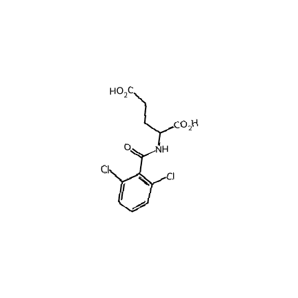 O=C(O)CCC(NC(=O)c1c(Cl)cccc1Cl)C(=O)O